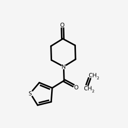 C=C.O=C1CCN(C(=O)c2ccsc2)CC1